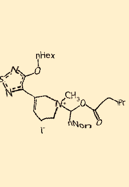 CCCCCCCCCC(OC(=O)CC(C)C)[N+]1(C)CCC=C(c2nsnc2OCCCCCC)C1.[I-]